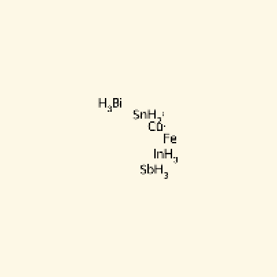 [BiH3].[Cu].[Fe].[InH3].[SbH3].[SnH2]